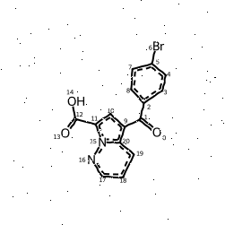 O=C(c1ccc(Br)cc1)c1cc(C(=O)O)n2ncccc12